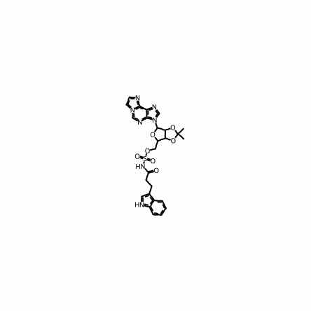 CC1(C)OC2C(COS(=O)(=O)NC(=O)CCc3c[nH]c4ccccc34)OC(n3cnc4c3ncn3ccnc43)C2O1